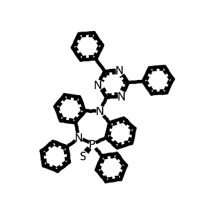 S=P1(c2ccccc2)c2ccccc2N(c2nc(-c3ccccc3)nc(-c3ccccc3)n2)c2ccccc2N1c1ccccc1